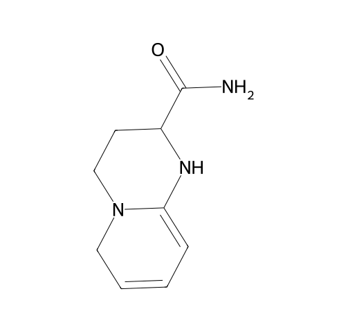 NC(=O)C1CCN2CC=CC=C2N1